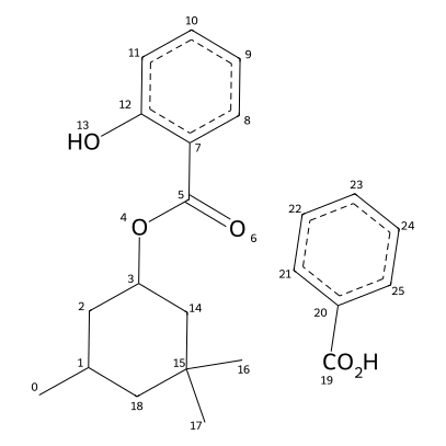 CC1CC(OC(=O)c2ccccc2O)CC(C)(C)C1.O=C(O)c1ccccc1